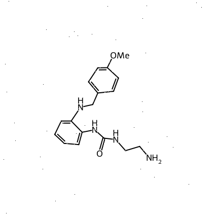 COc1ccc(CNc2ccccc2NC(=O)NCCN)cc1